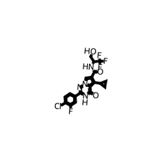 O=C(NC(CO)C(F)(F)F)c1cn2nc(-c3ccc(Cl)c(F)c3)[nH]c(=O)c2c1C1CC1